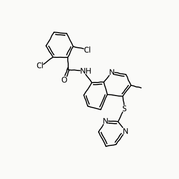 Cc1cnc2c(NC(=O)c3c(Cl)cccc3Cl)cccc2c1Sc1ncccn1